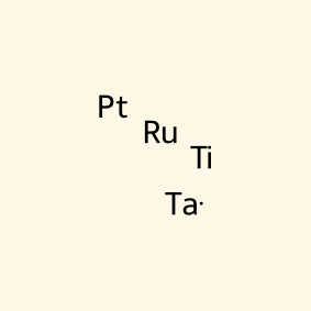 [Pt].[Ru].[Ta].[Ti]